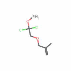 C=C(C)COCC(Cl)(Cl)O[SiH3]